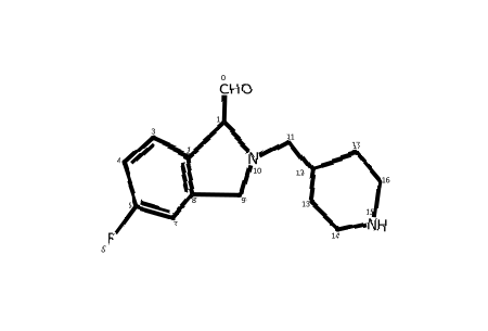 O=CC1c2ccc(F)cc2CN1CC1CCNCC1